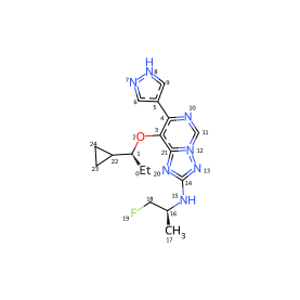 CC[C@H](Oc1c(-c2cn[nH]c2)ncn2nc(N[C@@H](C)CF)nc12)C1CC1